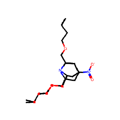 CCCCOCC1CC2([N+](=O)[O-])CC(COCCCC)N1C(COCCCC)C2